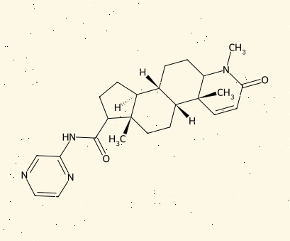 CN1C(=O)C=C[C@@]2(C)C1CC[C@@H]1[C@H]2CC[C@]2(C)C(C(=O)Nc3cnccn3)CC[C@@H]12